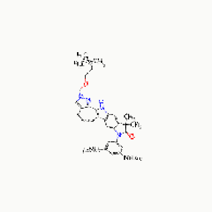 CC(=O)Nc1cc(NC(C)=O)cc(N2C(=O)C(C)(C)c3cc4[nH]c5c(c4cc32)CCCc2cn(COCC[Si](C)(C)C)nc2-5)c1